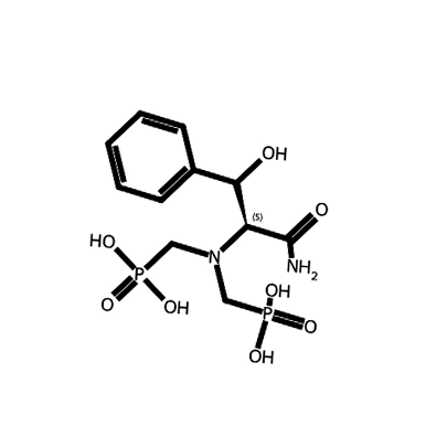 NC(=O)[C@H](C(O)c1ccccc1)N(CP(=O)(O)O)CP(=O)(O)O